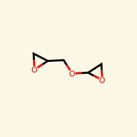 C1OC1COC1CO1